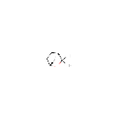 CC1(C)OC2=CCC1CC2